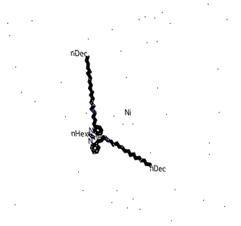 CCCCCCCCCCCCCCCCCCCCCCCCC/C=C/CCCc1ccccc1/N=C(CCCCCC)\C(CCCC)=N\c1ccccc1CCC/C=C/CCCCCCCCCCCCCCCCCCCCCCCCC.[Ni]